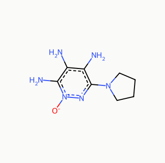 Nc1c(N2CCCC2)n[n+]([O-])c(N)c1N